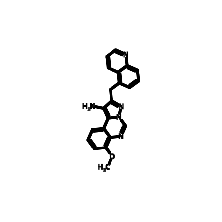 COc1cccc2c1ncn1nc(Cc3cccc4ncccc34)c(N)c21